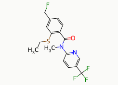 CCSc1cc(CF)ccc1C(=O)N(C)c1ccc(C(F)(F)F)cn1